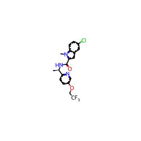 C[C@@H](NC(=O)c1cc2cc(Cl)ccc2n1C)c1ccc(OCC(F)(F)F)cn1